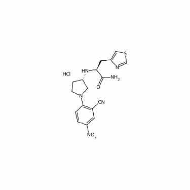 Cl.N#Cc1cc([N+](=O)[O-])ccc1N1CC[C@H](N[C@@H](Cc2cscn2)C(N)=O)C1